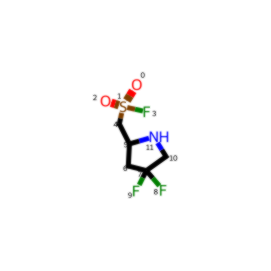 O=S(=O)(F)CC1CC(F)(F)CN1